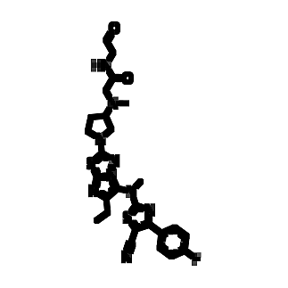 CCc1nc2sc(N3CCC(N(C)CC(=O)NCC=O)C3)nn2c1N(C)c1nc(-c2ccc(F)cc2)c(C#N)s1